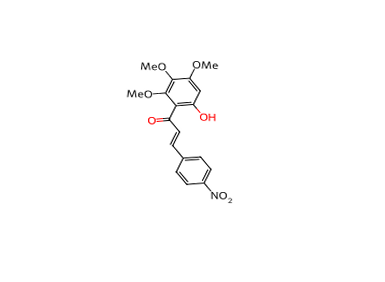 COc1cc(O)c(C(=O)/C=C/c2ccc([N+](=O)[O-])cc2)c(OC)c1OC